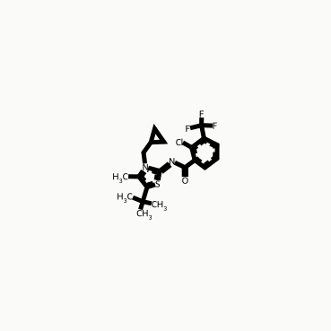 Cc1c(C(C)(C)C)s/c(=N\C(=O)c2cccc(C(F)(F)F)c2Cl)n1CC1CC1